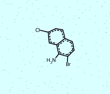 Nc1c(Br)ccc2ccc(Cl)cc12